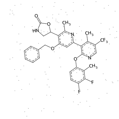 Cc1nc(-c2c(Oc3ccc(F)c(F)c3C)ncc(C(F)(F)F)c2C)cc(OCc2ccccc2)c1C1CNC(=O)O1